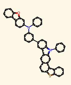 c1ccc(N(c2cccc(-c3ccc4c(c3)c3cc5ccc6sc7ccccc7c6c5cc3n4-c3ccccc3)c2)c2ccc3c(c2)oc2ccccc23)cc1